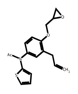 C=CCc1cc(N(C(C)=O)c2cccs2)ccc1OCC1CO1